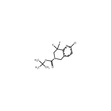 CC(C)(C)OC(=O)N1Cc2ccc(Cl)nc2C(F)(F)C1